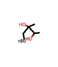 CCCCCC(C)(O)C(C)O